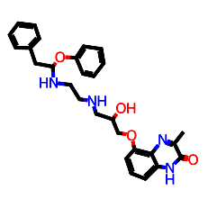 Cc1nc2c(OCC(O)CNCCNC(Cc3ccccc3)Oc3ccccc3)cccc2[nH]c1=O